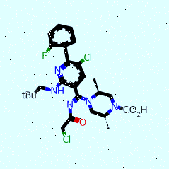 C[C@@H]1CN(/C(=N\C(=O)CCl)c2cc(Cl)c(-c3ccccc3F)nc2NCC(C)(C)C)[C@@H](C)CN1C(=O)O